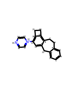 c1ccc2c(c1)CCc1c(cc(-[n+]3ccncc3)c3c1CC3)C2